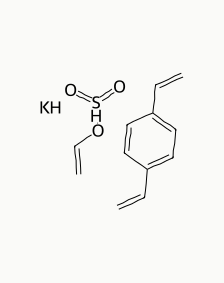 C=CO[SH](=O)=O.C=Cc1ccc(C=C)cc1.[KH]